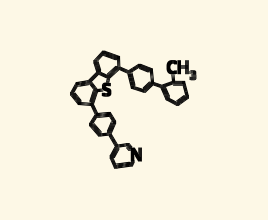 Cc1ccccc1-c1ccc(-c2cccc3c2sc2c(-c4ccc(-c5cccnc5)cc4)cccc23)cc1